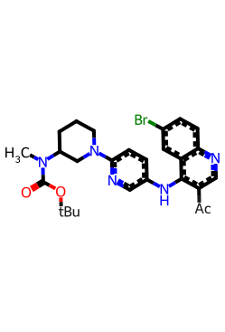 CC(=O)c1cnc2ccc(Br)cc2c1Nc1ccc(N2CCCC(N(C)C(=O)OC(C)(C)C)C2)nc1